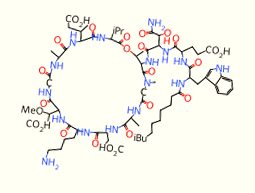 CCC(C)CCCCCCC(=O)NC(Cc1c[nH]c2ccccc12)C(=O)NC(CCC(=O)O)C(=O)NC(C(=O)NC1C(=O)N(C)CC(=O)NC(C)C(=O)NC(CC(=O)O)C(=O)NC(CCCCN)C(=O)NC(C(OC)C(=O)O)C(=O)NCC(=O)NC(C)C(=O)NC(C(C)CC(=O)O)C(=O)NC(C(C)C)C(=O)OC1C)C(O)C(N)=O